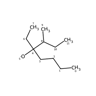 CCCCC([O])(CC)C(C)CC